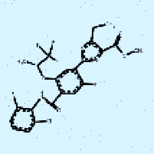 CCc1sc(-c2cc(O[C@@H](C)C(F)(F)F)c(C(=O)Nc3c(F)cccc3Cl)cc2F)nc1C(=O)OC